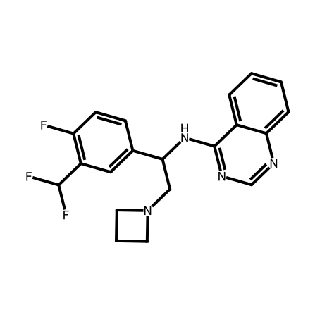 Fc1ccc(C(CN2CCC2)Nc2ncnc3ccccc23)cc1C(F)F